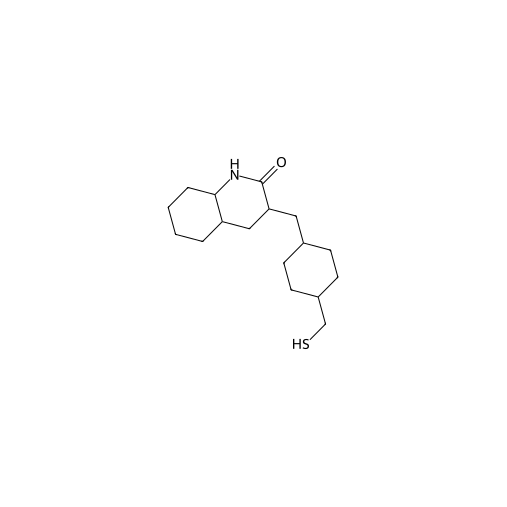 O=C1NC2CCCCC2CC1CC1CCC(CS)CC1